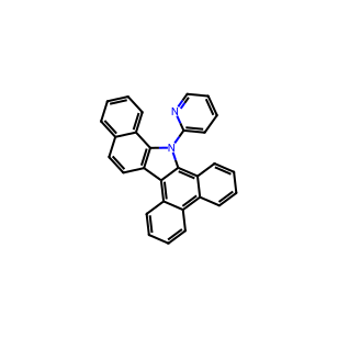 c1ccc(-n2c3c4ccccc4ccc3c3c4ccccc4c4ccccc4c32)nc1